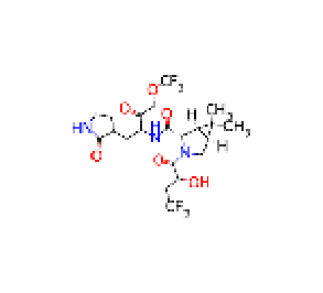 CC1(C)[C@@H]2[C@@H](C(=O)NC(CC3CCNC3=O)C(=O)COC(F)(F)F)N(C(=O)C(O)CC(F)(F)F)C[C@@H]21